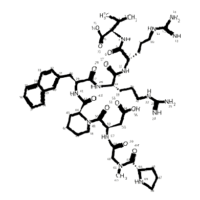 CC(C)[C@@H](NC(=O)[C@H](CCCNC(=N)N)NC(=O)[C@H](CCCNC(=N)N)NC(=O)[C@H](Cc1ccc2ccccc2c1)NC(=O)[C@@H]1CCCCN1C(=O)[C@@H](CC(=O)O)NC(=O)CN(C)C(=O)[C@@H]1CCCN1)C(=O)O